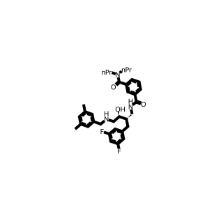 CCCN(CCC)C(=O)c1cccc(C(=O)NC[C@H](Cc2cc(F)cc(F)c2)[C@@H](O)CNCc2cc(C)cc(C)c2)c1